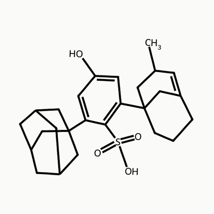 CC1C=C2CCCC(c3cc(O)cc(C45CC6CC(CC(C6)C4)C5)c3S(=O)(=O)O)(C2)C1